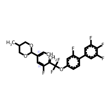 C=C(/C(F)=C\C(=C/C)C1OCC(C)CO1)C(F)(F)Oc1ccc(-c2cc(F)c(F)c(F)c2)c(F)c1